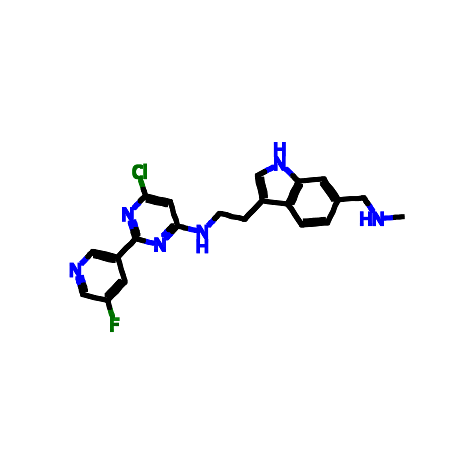 CNCc1ccc2c(CCNc3cc(Cl)nc(-c4cncc(F)c4)n3)c[nH]c2c1